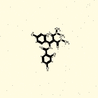 COC(=O)C(C(=O)N(C)C)=C(OC(=O)c1ccc(Cl)cc1Cl)c1ccc(Cl)cc1Cl